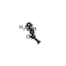 Cc1cccc(F)c1C(=O)Nc1ccc(-c2sc(C#CC3CC3)cc2Cl)cc1